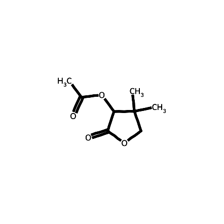 CC(=O)OC1C(=O)OCC1(C)C